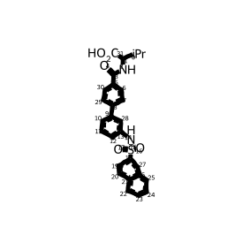 CC(C)C(NC(=O)c1ccc(-c2cccc(NS(=O)(=O)c3ccc4ccccc4c3)c2)cc1)C(=O)O